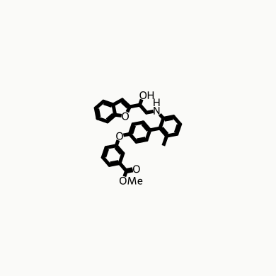 COC(=O)c1cccc(Oc2ccc(-c3c(C)cccc3NCC(O)c3cc4ccccc4o3)cc2)c1